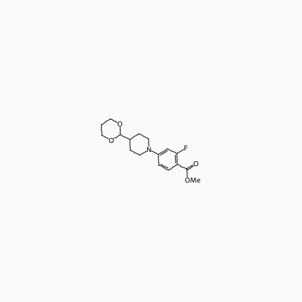 COC(=O)c1ccc(N2CCC(C3OCCCO3)CC2)cc1F